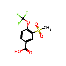 CS(=O)(=O)c1cc(C(=O)O)ccc1OC(F)(F)F